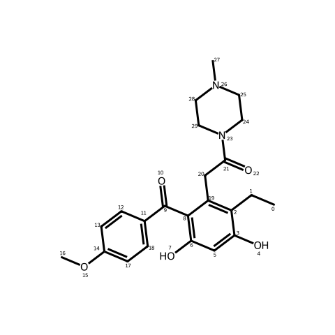 CCc1c(O)cc(O)c(C(=O)c2ccc(OC)cc2)c1CC(=O)N1CCN(C)CC1